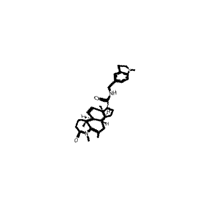 CC1=C2N(C)C(=O)CC[C@]2(C)[C@H]2CC[C@]3(C)[C@@H](C(=O)NCc4ccc5c(c4)CCN5C)CC[C@H]3[C@@H]2C1